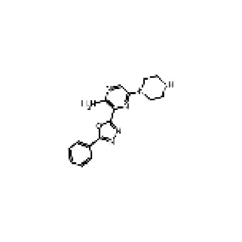 Nc1ncc(N2CCNCC2)nc1-c1nnc(-c2ccccc2)o1